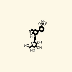 NS(=O)(=O)c1cccc(-c2cc(C#CC3OC(CO)[C@@H](O)C(O)C3O)c3[nH]ncc3c2)c1